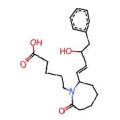 O=C(O)CCCCN1C(=O)CCCCC1C=CC(O)Cc1ccccc1